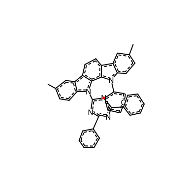 Cc1ccc2c(c1)c1ccc3c4cc(C)ccc4n(-c4nc(-c5ccccc5)nc(-c5ccccc5)n4)c3c1n2-c1ccccc1